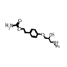 CC(C)NCC(O)COc1ccc(CCOC(N)=O)cc1